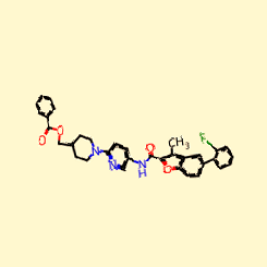 Cc1c(C(=O)Nc2ccc(N3CCC(COC(=O)c4ccccc4)CC3)nc2)oc2ccc(-c3ccccc3F)cc12